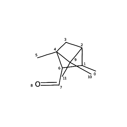 CC1C2CC(C)(C1C=O)C2(C)C